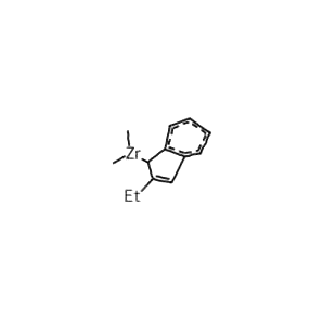 CCC1=Cc2ccccc2[CH]1[Zr]([CH3])[CH3]